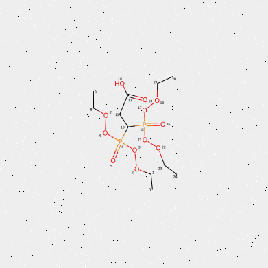 CCOOP(=O)(OOCC)C(CC(=O)O)P(=O)(OOCC)OOCC